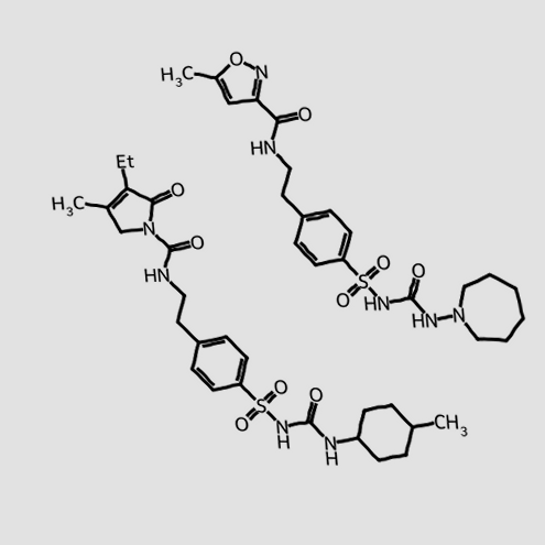 CCC1=C(C)CN(C(=O)NCCc2ccc(S(=O)(=O)NC(=O)NC3CCC(C)CC3)cc2)C1=O.Cc1cc(C(=O)NCCc2ccc(S(=O)(=O)NC(=O)NN3CCCCCC3)cc2)no1